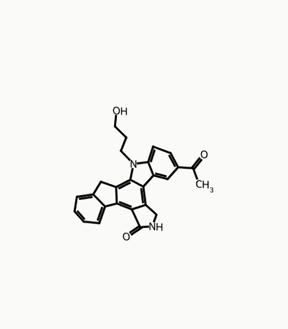 CC(=O)c1ccc2c(c1)c1c3c(c4c(c1n2CCCO)Cc1ccccc1-4)C(=O)NC3